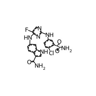 NC(=O)c1c[nH]c2cc(Nc3nc(Nc4ccc(Cl)c(S(N)(=O)=O)c4)ncc3F)ccc12